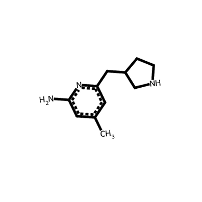 Cc1cc(N)nc(CC2CCNC2)c1